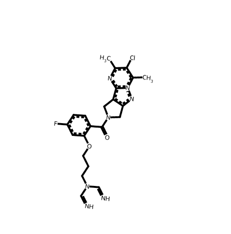 Cc1nc2c3c(nn2c(C)c1Cl)CN(C(=O)c1ccc(F)cc1OCCCN(C=N)C=N)C3